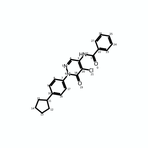 O=C(Nc1cnn(-c2ccc(C3CCCC3)cc2)c(=O)c1Cl)c1ccccc1